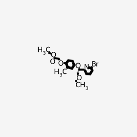 CCOC[C@H](Oc1ccc(OCC(=O)OCC)c(C)c1)c1cccc(Br)n1